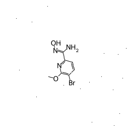 COc1nc(/C(N)=N/O)ccc1Br